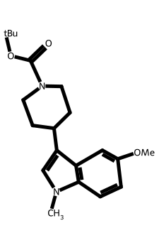 COc1ccc2c(c1)c(C1CCN(C(=O)OC(C)(C)C)CC1)cn2C